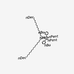 CCCCCC1=C(c2cccc(CCCC)c2)[N+](=[N-])C(c2cccc(CCCC)c2)=C1CCCCC.CCCCCCCCCCCCCCCCCCCCCCCC[CH2][Ni][CH2]CCCCCCCCCCCCCCCCCCCCCCCC